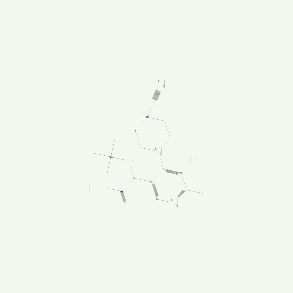 Cc1nc(C)c(C(OC(C)(C)C)C(=O)O)c(N2CCC(C)(C#N)CC2)c1Br